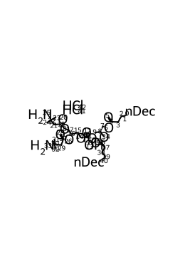 CCCCCCCCCCCCCC(=O)OC[C@H](COP(=O)(O)OCC(COC(=O)CC(C)(C)N)OC(=O)CC(C)(C)N)OC(=O)CCCCCCCCCCCCC.Cl.Cl